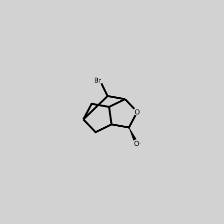 [O][C@@H]1OC2C(Br)C3CC2C1C3